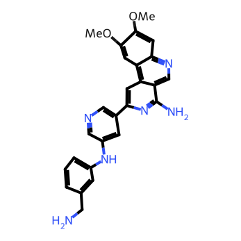 COc1cc2ncc3c(N)nc(-c4cncc(Nc5cccc(CN)c5)c4)cc3c2cc1OC